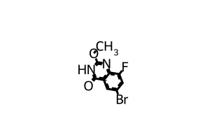 COc1nc2c(F)cc(Br)cc2c(=O)[nH]1